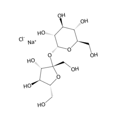 OC[C@H]1O[C@@](CO)(O[C@H]2O[C@H](CO)[C@@H](O)[C@H](O)[C@H]2O)[C@@H](O)[C@@H]1O.[Cl-].[Na+]